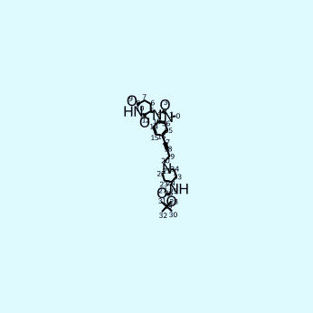 Cn1c(=O)n(C2CCC(=O)NC2=O)c2ccc(C#CCCN3CCC(NC(=O)OC(C)(C)C)CC3)cc21